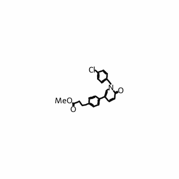 COC(=O)CCc1ccc(-c2ccc(=O)n(Cc3ccc(Cl)cc3)c2)cc1